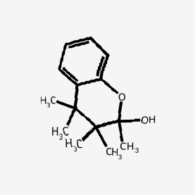 CC1(O)Oc2ccccc2C(C)(C)C1(C)C